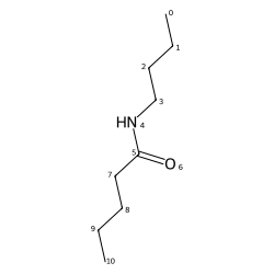 CCCCNC(=O)CCCC